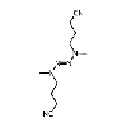 CN(CCCC#N)/N=N/N(C)CCCC#N